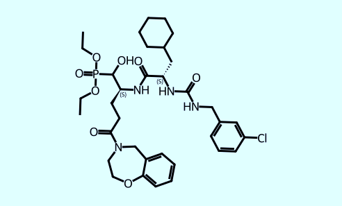 CCOP(=O)(OCC)C(O)[C@H](CCC(=O)N1CCOc2ccccc2C1)NC(=O)[C@H](CC1CCCCC1)NC(=O)NCc1cccc(Cl)c1